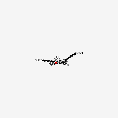 CCCCCCCCC=CCCCCCCCC(=O)OC(C)N1CC[N+](CCCN)(C(C)OC(=O)CCCCCCCC=CCCCCCCCC)CC1